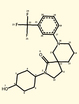 O=C1N(C2CCC(O)CC2)CCC12CCCN(c1cccc(C(F)(F)F)c1)C2